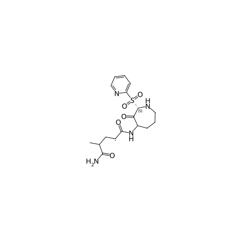 CC(C[CH]C(=O)NC1CCCN[C@@H](S(=O)(=O)c2ccccn2)C1=O)C(N)=O